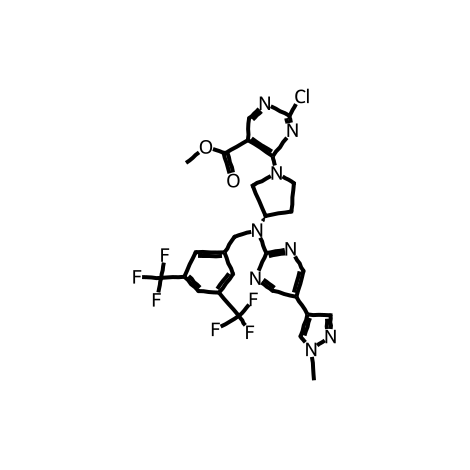 COC(=O)c1cnc(Cl)nc1N1CC[C@H](N(Cc2cc(C(F)(F)F)cc(C(F)(F)F)c2)c2ncc(-c3cnn(C)c3)cn2)C1